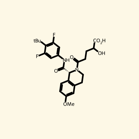 COc1ccc2c(c1)CCN(C(=O)CCC(O)C(=O)O)[C@H]2C(=O)Nc1cc(F)c(C(C)(C)C)c(F)c1